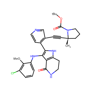 COc1c(Cl)cccc1Nc1c(-c2ccncc2C#C[C@@]2(C)CCCN2C(=O)OC(C)(C)C)[nH]c2c1C(=O)NCC2